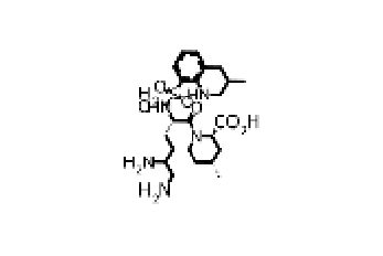 CC1CNc2c(cccc2S(=O)(=O)N[C@@H](CCC(N)CN)C(=O)N2CC[C@@H](C)C[C@@H]2C(=O)O)C1.O